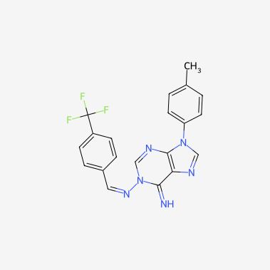 Cc1ccc(-n2cnc3c(=N)n(/N=C\c4ccc(C(F)(F)F)cc4)cnc32)cc1